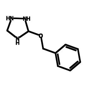 c1ccc(COC2NCNN2)cc1